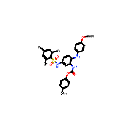 CCCCCCOc1ccc(Nc2ccc(NS(=O)(=O)c3c(C(C)C)cc(C(C)C)cc3C(C)C)cc2NC(=O)Oc2ccc(OC)cc2)cc1